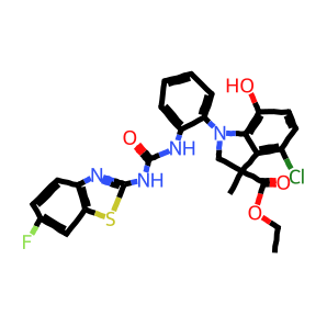 CCOC(=O)C1(C)CN(c2ccccc2NC(=O)Nc2nc3ccc(F)cc3s2)c2c(O)ccc(Cl)c21